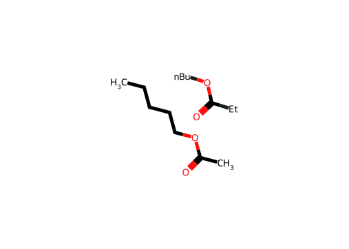 CCCCCOC(C)=O.CCCCOC(=O)CC